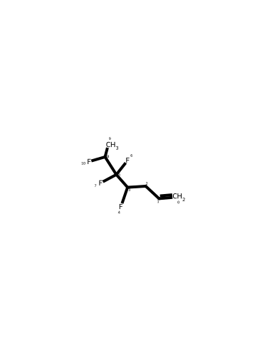 C=CCC(F)C(F)(F)C(C)F